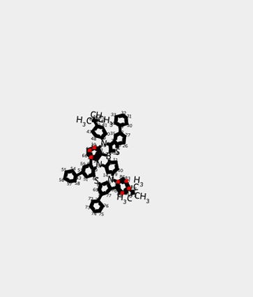 CC(C)(C)c1ccc(N2c3ccc4c(c3)N(c3cccc5c3B4c3sc4ccc(-c6ccccc6)cc4c3N5c3ccc(C(C)(C)C)cc3)c3c(cc(-c4ccccc4)cc3-c3ccccc3)Sc3cc(-c4ccccc4)cc(-c4ccccc4)c32)cc1